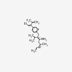 C=C/N=C(/C)C/C(N)=C(/Cc1ccc(/C(=C/CC)C(=C)C(F)(F)F)cn1)C(=C)C